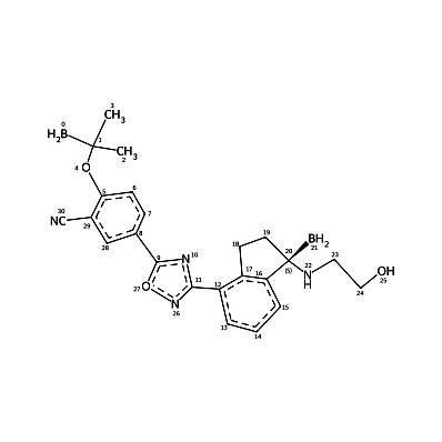 BC(C)(C)Oc1ccc(-c2nc(-c3cccc4c3CC[C@]4(B)NCCO)no2)cc1C#N